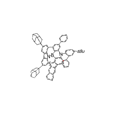 CC(C)(C)c1ccc(N2c3cc(-c4ccccc4)cc4c3B(c3c2ccc2c3sc3cc5ccccc5cc32)n2c3ccc(C56CC7CC(CC(C7)C5)C6)cc3c3cc(C56CC7CC(CC(C7)C5)C6)cc-4c32)c(-c2ccccc2)c1